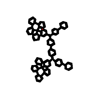 c1ccc(-c2ccc(N(c3ccc(-c4ccc(N(c5ccc(-c6ccccc6)cc5)c5ccc(C6(c7ccccc7)c7ccccc7-c7ccccc7-c7ccccc76)cc5)cc4)cc3)c3ccc(C4(c5ccccc5)c5ccccc5-c5ccccc5-c5ccccc54)cc3)cc2)cc1